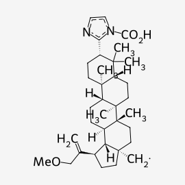 [CH2][C@]12CC[C@@H](C(=C)COC)[C@@H]1[C@H]1CC[C@@H]3[C@@]4(C)CC[C@H](c5nccn5C(=O)O)C(C)(C)[C@@H]4CC[C@@]3(C)[C@]1(C)CC2